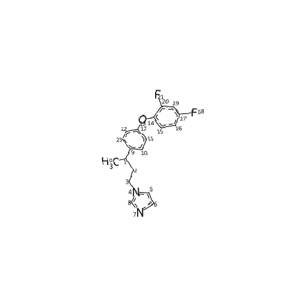 CC(CCn1ccnc1)c1ccc(Oc2ccc(F)cc2F)cc1